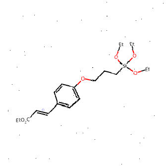 CCOC(=O)/C=C/c1ccc(OCCC[Si](OCC)(OCC)OCC)cc1